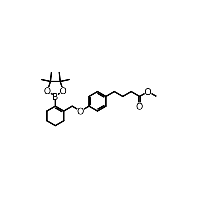 COC(=O)CCCc1ccc(OCC2=C(B3OC(C)(C)C(C)(C)O3)CCCC2)cc1